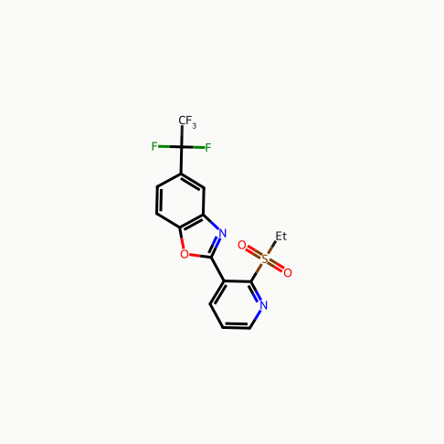 CCS(=O)(=O)c1ncccc1-c1nc2cc(C(F)(F)C(F)(F)F)ccc2o1